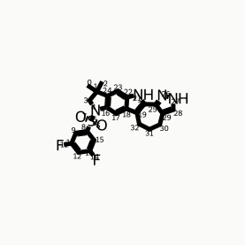 CC1(C)CN(S(=O)(=O)c2cc(F)cc(F)c2)c2cc3c4c([nH]c3cc21)-c1n[nH]cc1CCC4